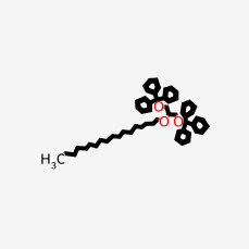 CCCCCCCCCCCCCCCCCCOC(COC(c1ccccc1)(c1ccccc1)c1ccccc1)COC(c1ccccc1)(c1ccccc1)c1ccccc1